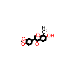 Cc1c(O)ccc2c(=O)c(-c3ccc4c(c3)OCO4)coc12